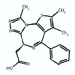 Cc1sc2c(c1C)C(c1ccccc1)=N[C@@H](CC(=O)O)c1nnc(C)n1-2